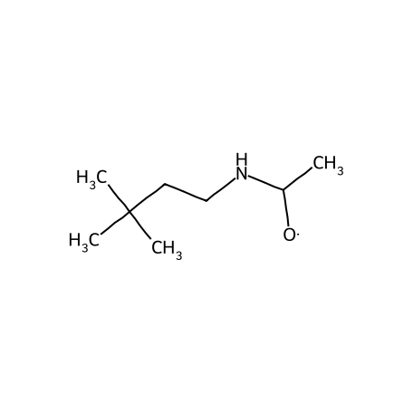 CC([O])NCCC(C)(C)C